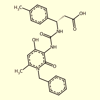 Cc1ccc([C@H](CC(=O)O)NC(=O)Nc2c(O)cc(C)n(Cc3ccccc3)c2=O)cc1